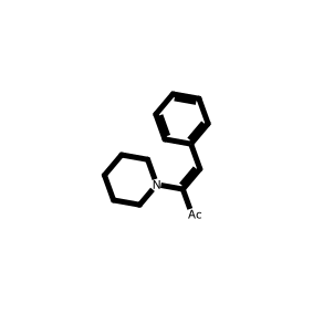 CC(=O)C(=Cc1ccccc1)N1CCCCC1